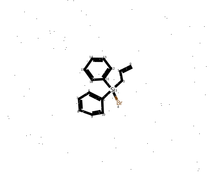 C=CC[Si](Br)(c1ccccc1)c1ccccc1